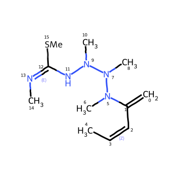 C=C(/C=C\C)N(C)N(C)N(C)N/C(=N\C)SC